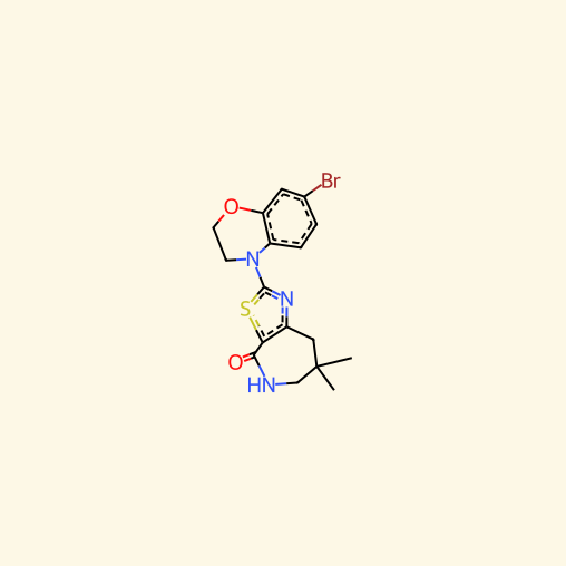 CC1(C)CNC(=O)c2sc(N3CCOc4cc(Br)ccc43)nc2C1